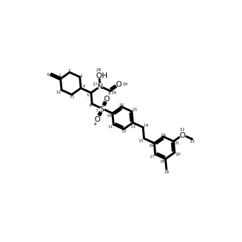 C=C1CCC(C(CS(=O)(=O)c2ccc(CCc3cc(C)cc(OC)c3)cc2)N(O)C=O)CC1